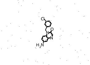 Nc1ccc2c(c1)ncc(=O)n2Cc1cccc(Cl)c1